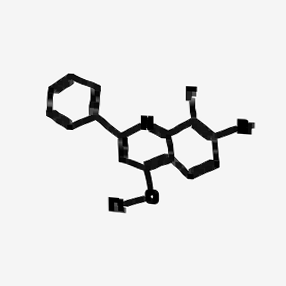 CCOc1cc(-c2ccccc2)nc2c(F)c(Br)ccc12